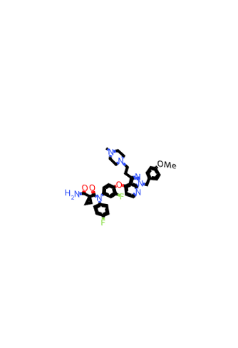 COc1ccc(Cn2nc(CCN3CCN(C)CC3)c3c(Oc4ccc(N(C(=O)C5(C(N)=O)CC5)c5ccc(F)cc5)cc4F)ccnc32)cc1